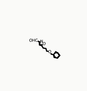 O=Cc1cc(CCCOCc2ccccc2)on1